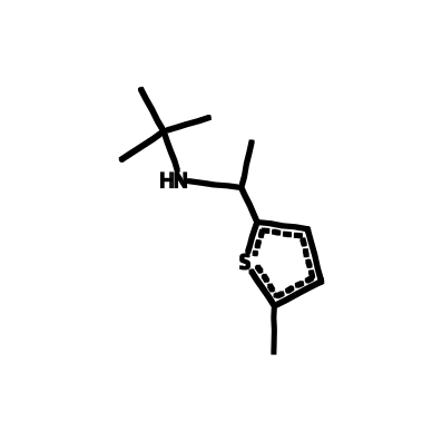 Cc1ccc(C(C)NC(C)(C)C)s1